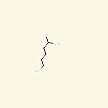 CC([NH])CCCC[NH]